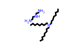 CCCCCCCCN(CCCCCCCC)CCCCCCCC.NCCNCCN